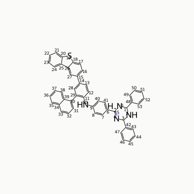 NC(NC(/N=C/c1ccc(Nc2ccc(-c3ccc4sc5ccccc5c4c3)cc2-c2cccc3ccccc23)cc1)c1ccccc1)c1ccccc1